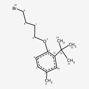 Cc1ccc(OCCCCBr)c(C(C)(C)C)c1